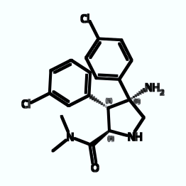 CN(C)C(=O)[C@@H]1NC[C@](N)(c2ccc(Cl)cc2)[C@H]1c1cccc(Cl)c1